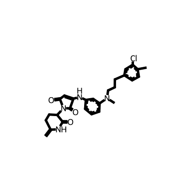 C=C1CCC(N2C(=O)C=C(Nc3cccc(N(C)CCCc4ccc(C)c(Cl)c4)c3)C2=O)C(=O)N1